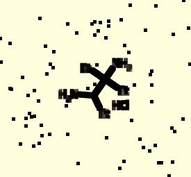 CCC(N)C(N)(CC)CC.Cl